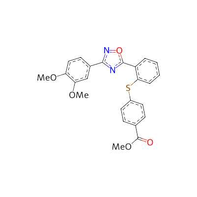 COC(=O)c1ccc(Sc2ccccc2-c2nc(-c3ccc(OC)c(OC)c3)no2)cc1